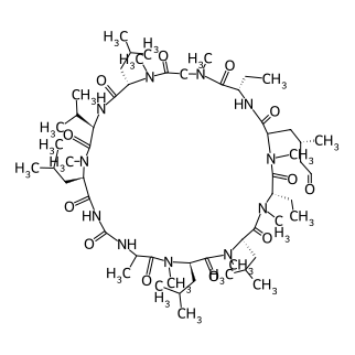 CC[C@@H]1NC(=O)C(C[C@H](C)CC=O)N(C)C(=O)[C@H](CC)N(C)C(=O)[C@H](CC(C)C)N(C)C(=O)[C@@H](CC(C)C)N(C)C(=O)C(C)NC(=O)NC(=O)[C@@H](CC(C)C)N(C)C(=O)[C@@H](C(C)C)NC(=O)[C@H](CC(C)C)N(C)C(=O)CN(C)C1=O